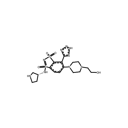 O=S1(=O)N=S(=O)(N[C@@H]2CCNC2)c2ccc(N3CCN(CCO)CC3)c(-c3nn[nH]n3)c21